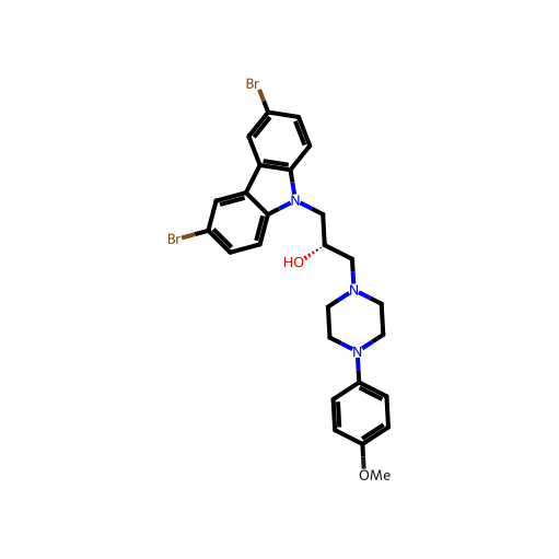 COc1ccc(N2CCN(C[C@H](O)Cn3c4ccc(Br)cc4c4cc(Br)ccc43)CC2)cc1